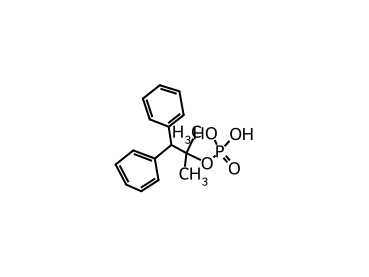 CC(C)(OP(=O)(O)O)C(c1ccccc1)c1ccccc1